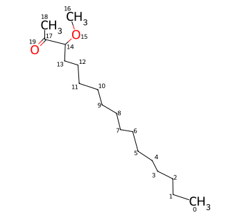 CCCCCCCCCCCCCCC(OC)C(C)=O